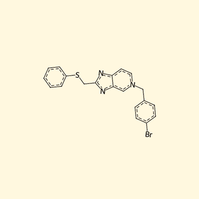 Brc1ccc(Cn2ccc3nc(CSc4ccccc4)nc-3c2)cc1